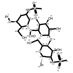 CC(C)O[C@H]1CC(NS(C)(=O)=O)[C@H](O[C@@H]2C(OC=O)O[C@@H](O[C@@H]3C(CO)O[C@@H](C(C)C)C(NS(C)(=O)=O)[C@@H]3O)C(O)[C@@H]2O)OC1CO